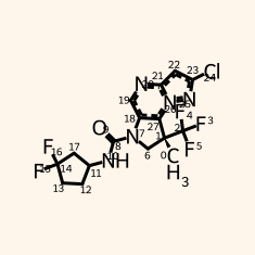 C[C@@]1(C(F)(F)F)CN(C(=O)NC2CCC(F)(F)C2)c2cnc3cc(Cl)nn3c21